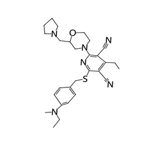 CCc1c(C#N)c(SCc2ccc(N(C)CC)cc2)nc(N2CCOC(CN3CCCC3)C2)c1C#N